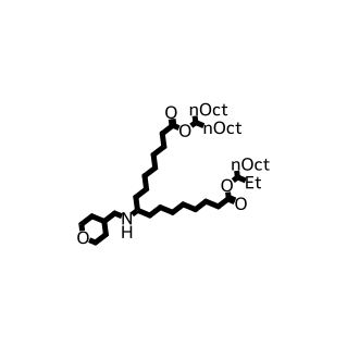 CCCCCCCCC(CC)OC(=O)CCCCCCCC(CCCCCCCC(=O)OC(CCCCCCCC)CCCCCCCC)NCC1CCOCC1